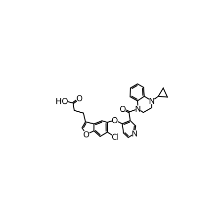 O=C(O)CCc1coc2cc(Cl)c(Oc3ccncc3C(=O)N3CCN(C4CC4)c4ccccc43)cc12